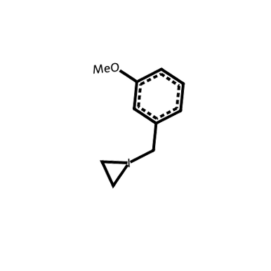 COc1cccc(CI2CC2)c1